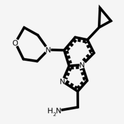 NCc1cn2cc(C3CC3)cc(N3CCOCC3)c2n1